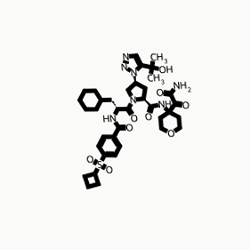 CC(C)(O)c1cnnn1[C@H]1C[C@@H](C(=O)NC2(C(=O)C(N)=O)CCOCC2)N(C(=O)[C@@H](CC2CCCCC2)NC(=O)c2ccc(S(=O)(=O)C3CCC3)cc2)C1